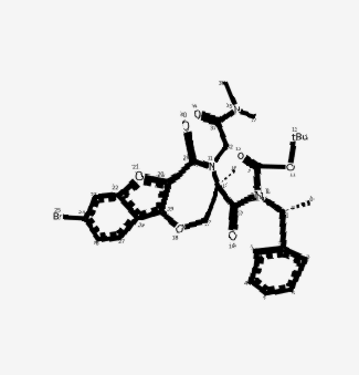 C[C@H](c1ccccc1)N(C(=O)OC(C)(C)C)C(=O)[C@@]1(C)COc2c(oc3cc(Br)ccc23)C(=O)N1CC(=O)N(C)C